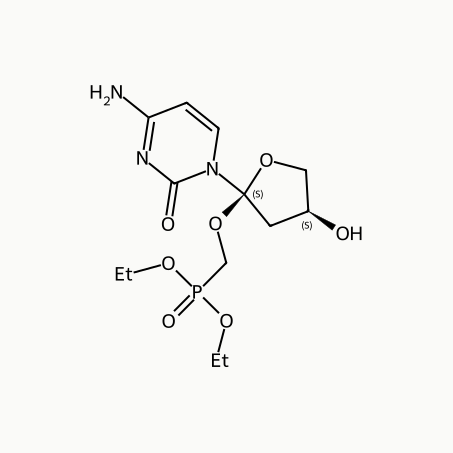 CCOP(=O)(CO[C@]1(n2ccc(N)nc2=O)C[C@H](O)CO1)OCC